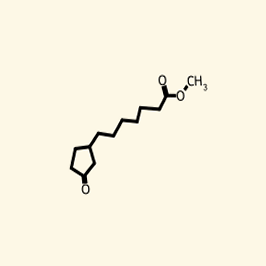 COC(=O)CCCCCCC1CCC(=O)C1